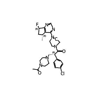 CC(=O)N1CCN(C[C@H](C(=O)N2CCN(c3ncnc4c3[C@H](C)C[C@H]4F)CC2)c2ccc(Cl)cc2)CC1